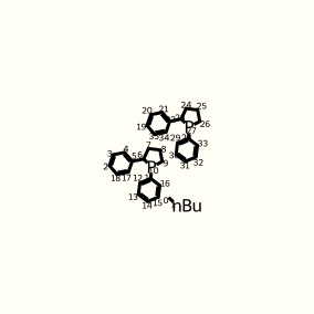 CCCCC.c1ccc(C2CCCP2c2ccccc2)cc1.c1ccc(C2CCCP2c2ccccc2)cc1